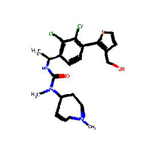 CC(NC(=O)N(C)C1CCN(C)CC1)c1ccc(-c2sccc2CO)c(Cl)c1Cl